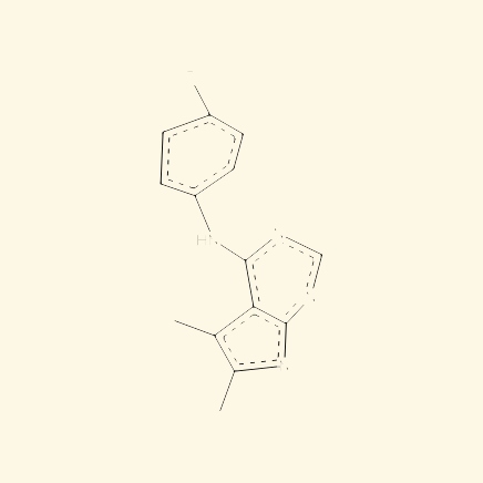 Cc1[nH]c2ncnc(Nc3ccc(F)cc3)c2c1C